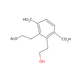 CC(=O)OCCc1c(C(=O)O)ccc(C(=O)O)c1CCO